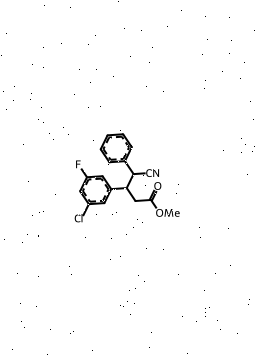 COC(=O)CC(c1cc(F)cc(Cl)c1)C(C#N)c1ccccc1